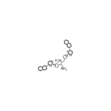 NCC(C(N)CC1CCN(c2nccc(-c3ccc4ccccc4c3)n2)C1)C1CCN(c2nccc(-c3ccc4ccccc4c3)n2)C1